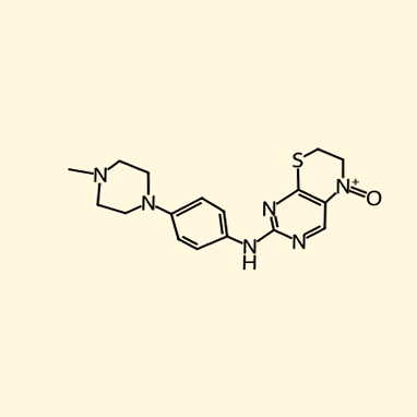 CN1CCN(c2ccc(Nc3ncc4c(n3)SCC[N+]4=O)cc2)CC1